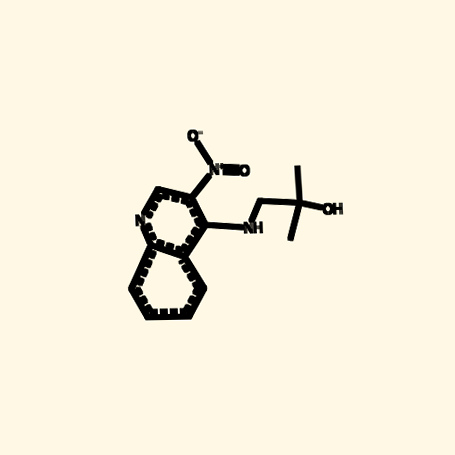 CC(C)(O)CNc1c([N+](=O)[O-])cnc2ccccc12